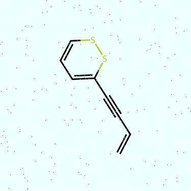 C=CC#CC1=CC=CSS1